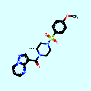 C[C@@H]1CN(S(=O)(=O)c2ccc(OC(F)(F)F)cc2)CCN1C(=O)c1cnn2cccnc12